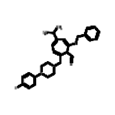 CC(C)C1=CC=C(CN2CCN(c3ccc(F)cc3)CC2)C(C=O)C(OCc2ccccc2)=C1